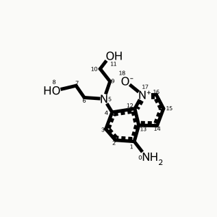 Nc1ccc(N(CCO)CCO)c2c1ccc[n+]2[O-]